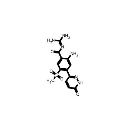 CS(=O)(=O)c1cc(C(=O)N=C(N)N)c(N)cc1-c1ccc(=O)[nH]n1